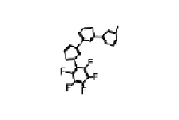 Cc1cccc(-c2cccc(-c3cccc(-c4c(F)c(F)c(F)c(F)c4F)c3)c2)c1